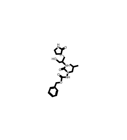 CC(C)CN(NC(=O)OCc1ccccc1)C(=O)NC(CO)C[C@@H]1CCNC1=O